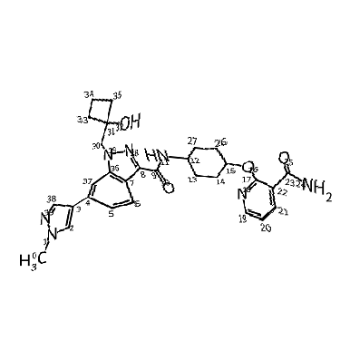 Cn1cc(-c2ccc3c(C(=O)NC4CCC(Oc5ncccc5C(N)=O)CC4)nn(CC4(O)CCC4)c3c2)cn1